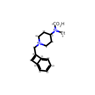 CCN(C(=O)O)C1CCN(CC2=Cc3ccccc32)CC1